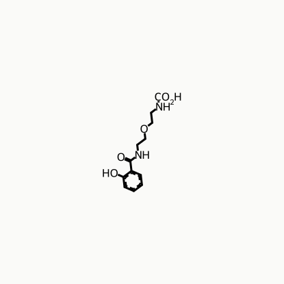 O=C(O)NCCOCCNC(=O)c1ccccc1O